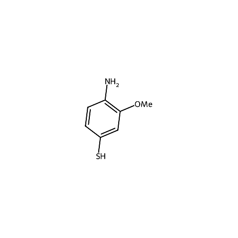 COc1cc(S)ccc1N